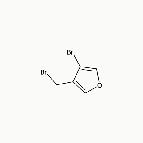 BrCc1cocc1Br